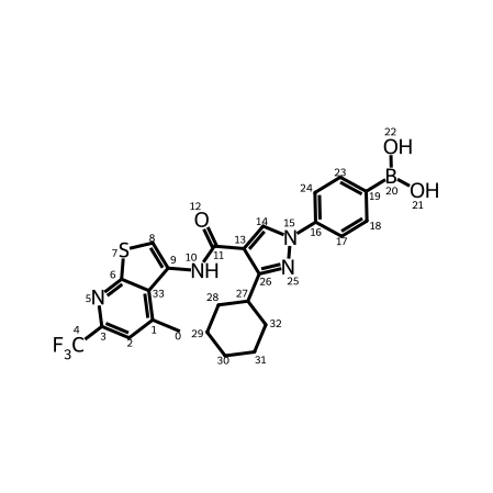 Cc1cc(C(F)(F)F)nc2scc(NC(=O)c3cn(-c4ccc(B(O)O)cc4)nc3C3CCCCC3)c12